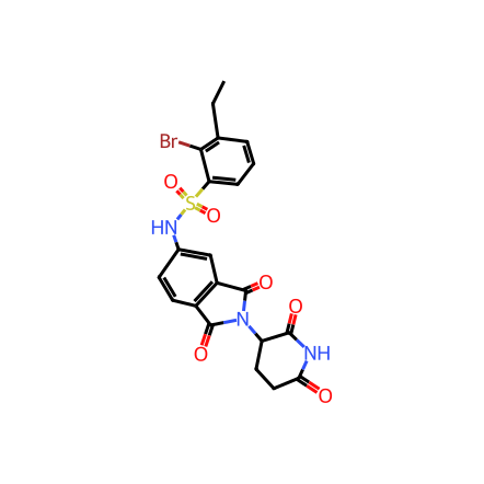 CCc1cccc(S(=O)(=O)Nc2ccc3c(c2)C(=O)N(C2CCC(=O)NC2=O)C3=O)c1Br